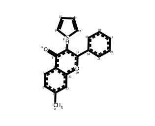 Cc1ccc2c(=O)c([SH]3C=CC=C3)c(-c3ccccc3)oc2c1